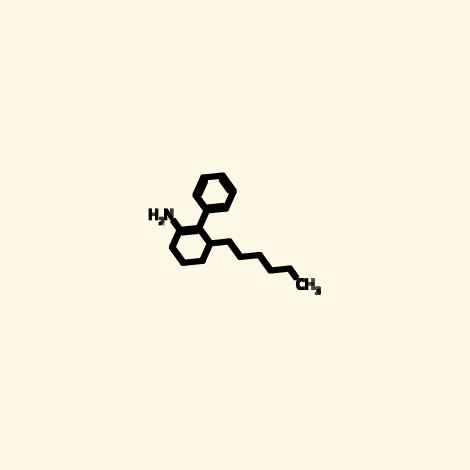 CCCCCCC1CCCC(N)=C1c1ccccc1